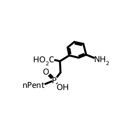 CCCCCP(=O)(O)CC(C(=O)O)c1cccc(N)c1